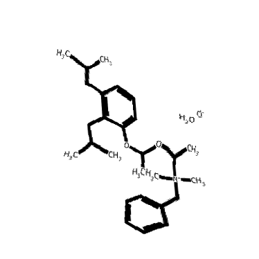 CC(C)Cc1cccc(OC(C)OC(C)[N+](C)(C)Cc2ccccc2)c1CC(C)C.O.[Cl-]